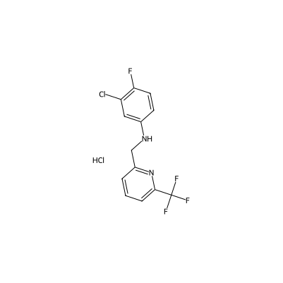 Cl.Fc1ccc(NCc2cccc(C(F)(F)F)n2)cc1Cl